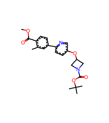 COC(=O)c1ccc(-c2ccc(OC3CN(C(=O)OC(C)(C)C)C3)cn2)cc1C